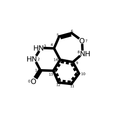 O=C1NNC2C=CONc3cccc1c32